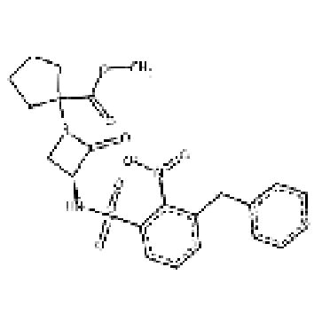 COC(=O)C1(N2C[C@H](NS(=O)(=O)c3cccc(Cc4ccccc4)c3[N+](=O)[O-])C2=O)CCCC1